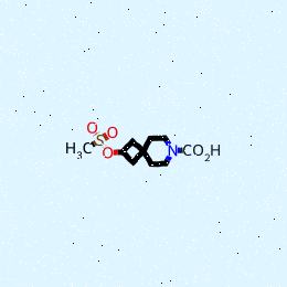 CS(=O)(=O)OC1CC2(CCN(C(=O)O)CC2)C1